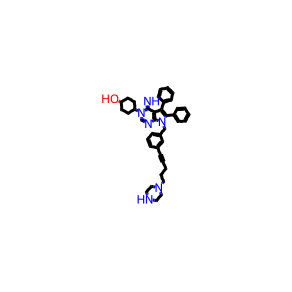 N=c1c2c(-c3ccccc3)c(-c3ccccc3)n(Cc3cccc(C#CCCCN4CCNCC4)c3)c2ncn1C1CCC(O)CC1